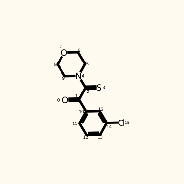 O=C(C(=S)N1CCOCC1)c1cccc(Cl)c1